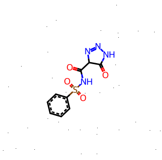 O=C1NN=NC1C(=O)NS(=O)(=O)c1ccccc1